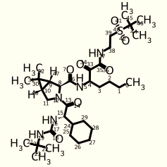 CCCCC(NC(=O)[C@@H]1[C@@H]2[C@H](CN1C(=O)[C@@H](NC(=O)NC(C)(C)C)C1CCCCC1)C2(C)C)C(=O)C(=O)NCCS(=O)(=O)C(C)(C)C